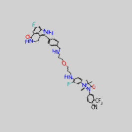 C=C1N(c2ccc(C#N)c(C(F)(F)F)c2)C(=O)C(C)(C)N1c1ccc(NCCCOCCCNCc2ccc(-c3[nH]c4cc(F)cc5c4c3CCNC5=O)cc2)c(F)c1